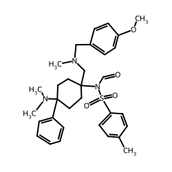 COc1ccc(CN(C)CC2(N(C=O)S(=O)(=O)c3ccc(C)cc3)CCC(c3ccccc3)(N(C)C)CC2)cc1